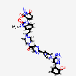 Cn1c(=O)n(C2CCC(=O)NC2=O)c2ccc(CCN3CCN(C(=O)c4cnc(C5C6CC7CN(c8cc(-c9ccccc9O)nnc8N)CC6N75)nc4)CC3)cc21